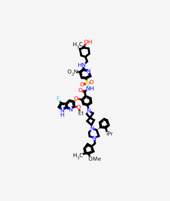 CCOc1nc2[nH]cc(F)c2cc1Oc1cc(N2CC3(CC(N4CCN(Cc5ccc(C)c(OC)c5)C[C@H]4c4ccccc4C(C)C)C3)C2)ccc1C(=O)NS(=O)(=O)c1cnc(NCC2CCC(C)(O)CC2)c([N+](=O)[O-])c1